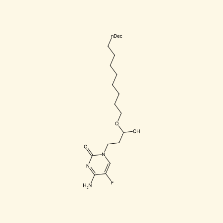 CCCCCCCCCCCCCCCCCCOC(O)CCn1cc(F)c(N)nc1=O